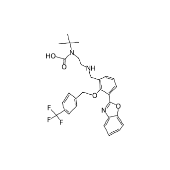 CC(C)(C)N(CCNCc1cccc(-c2nc3ccccc3o2)c1OCc1ccc(C(F)(F)F)cc1)C(=O)O